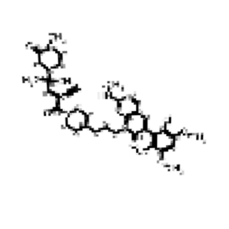 CNc1ncc2cc(-c3c(Cl)c(OC)cc(OC)c3Cl)c(=O)n(CCCC3CCN(C(=O)C(C#N)=CC(C)(C)N4CCN(C)C(=O)C4)CC3)c2n1